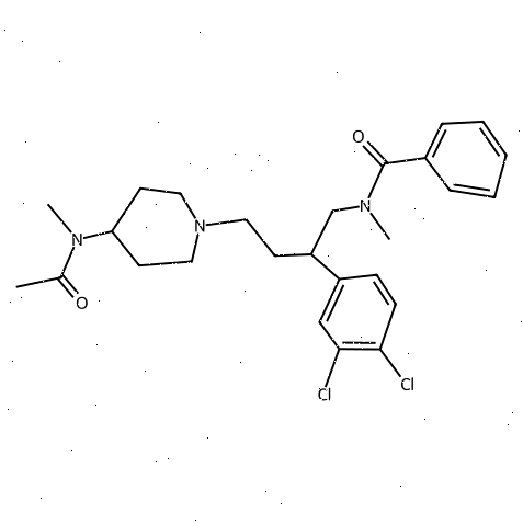 CC(=O)N(C)C1CCN(CCC(CN(C)C(=O)c2ccccc2)c2ccc(Cl)c(Cl)c2)CC1